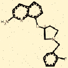 Nc1ccc2cccc(O[C@H]3CCN(Cc4ccccc4F)C3)c2n1